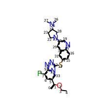 C=C(OCC)c1cc(F)c2nnc(Sc3ccc4ncc(N5CC[C@H](N(C)C)C5)cc4c3)n2c1